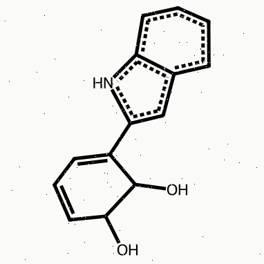 OC1C=CC=C(c2cc3ccccc3[nH]2)C1O